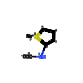 O=C([O-])Nc1cccs1.[Na+]